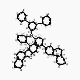 c1ccc(-c2cc(-c3ccccc3)cc(N(c3ccc(-c4ccc5c(ccc6ccccc65)c4)cc3)c3ccccc3-c3cccc4oc5c6ccccc6ccc5c34)c2)cc1